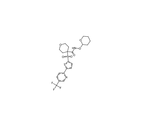 O=C(NOC1CCCCO1)C1(S(=O)(=O)c2ccc(-c3ccc(C(F)(F)F)cn3)s2)CCOCC1